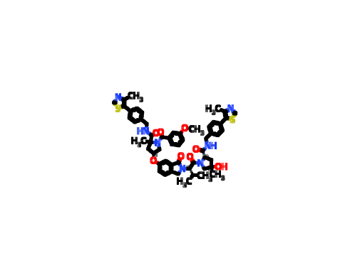 COc1cccc(C(=O)N2C[C@H](Oc3ccc4c(c3)C(=O)N([C@H](C(=O)N3C[C@@](C)(O)C[C@H]3C(=O)NCc3ccc(-c5scnc5C)cc3)C(C)C)C4)CC2(C)C(=O)NCc2ccc(-c3scnc3C)cc2)c1